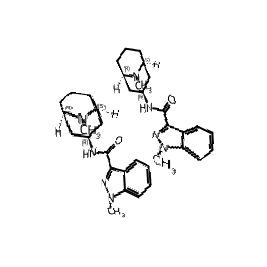 CN1[C@@H]2CCC[C@H]1C[C@@H](NC(=O)c1nn(C)c3ccccc13)C2.CN1[C@@H]2CCC[C@H]1C[C@@H](NC(=O)c1nn(C)c3ccccc13)C2